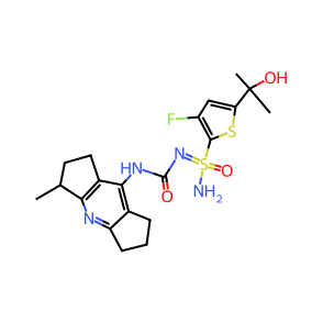 CC1CCc2c1nc1c(c2NC(=O)N=S(N)(=O)c2sc(C(C)(C)O)cc2F)CCC1